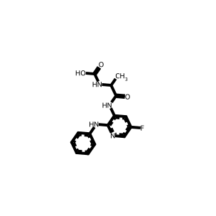 CC(NC(=O)O)C(=O)Nc1cc(F)cnc1Nc1ccccc1